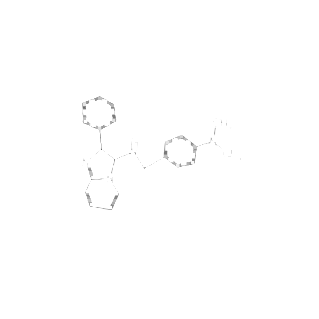 CN(C)c1ccc(CNC2C(c3ccccc3)N=C3C=CC=CN32)cc1